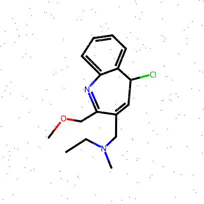 CCN(C)CC1=CC(Cl)c2ccccc2N=C1COC